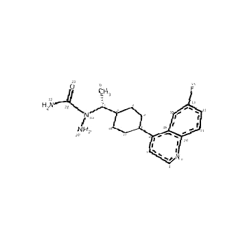 C[C@H](C1CCC(c2ccnc3ccc(F)cc23)CC1)N(N)C(N)=O